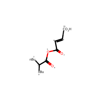 CCCCC(CCCC)C(=O)OC(=O)/C=C/C(=O)O